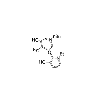 CCCCn1ccc(=O)c(O)c1.CCn1cccc(O)c1=O.[Fe]